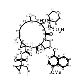 COc1cnc(O[C@@H]2C[C@H]3C(=O)N[C@]4(C(=O)NS(=O)(=O)C5(CF)CC5)C[C@H]4C=CCC[C@@H](C)C[C@@H](C)[C@H](N(C(=O)O)C4(C)CCOCC4)C(=O)N3C2)c2ccccc12